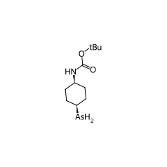 CC(C)(C)OC(=O)N[C@H]1CC[C@@H]([AsH2])CC1